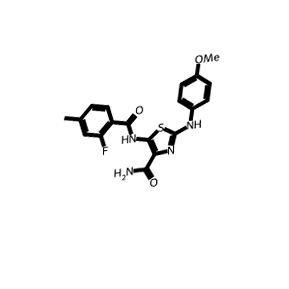 COc1ccc(Nc2nc(C(N)=O)c(NC(=O)c3ccc(C)cc3F)s2)cc1